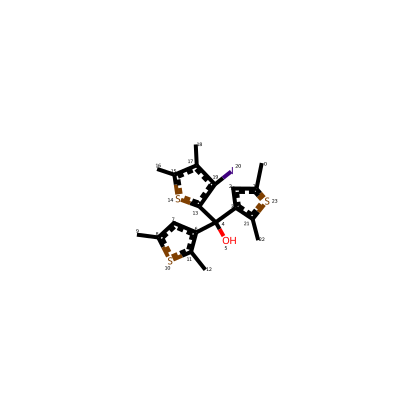 Cc1cc(C(O)(c2cc(C)sc2C)c2sc(C)c(C)c2I)c(C)s1